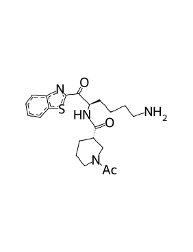 CC(=O)N1CCC[C@H](C(=O)N[C@H](CCCCN)C(=O)c2nc3ccccc3s2)C1